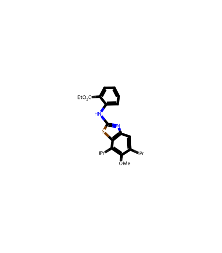 CCOC(=O)c1ccccc1Nc1nc2cc(C(C)C)c(OC)c(C(C)C)c2s1